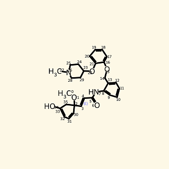 COC1(/C=C/C(=O)Nc2ccccc2COc2ccccc2OC2CCN(C)CC2)C=CC=C(O)C1